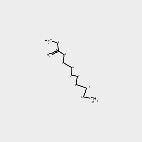 [CH2]CC(=O)CCCCCCCCC